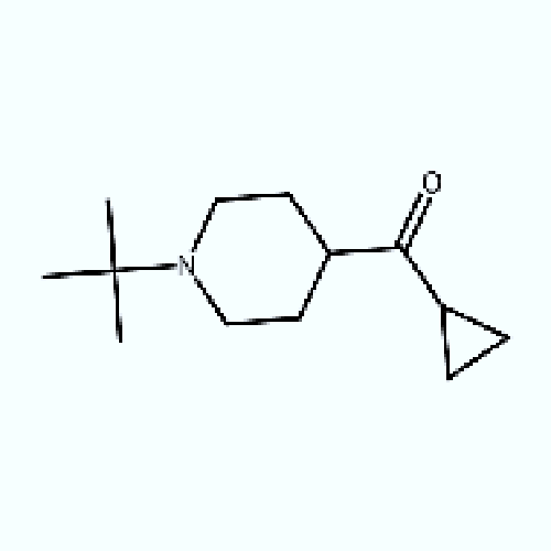 CC(C)(C)N1CCC(C(=O)C2CC2)CC1